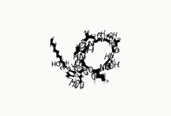 CCCCCCC[C@@H](O)CC(=O)N[C@@H](CC(C)C)C(=O)N[C@H](CCC(=O)O)C(=O)N[C@H]1C(=O)N[C@H](C(C)C)C(=O)N[C@@H](CC(C)C)C(=O)N[C@H](CO)C(=O)N[C@@H](CC(C)C)C(=O)N[C@H](CO)C(=O)N[C@@H]([C@@H](C)CC)C(=O)O[C@@H]1C